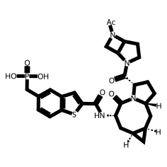 CC(=O)N1CC2C1CCN2C(=O)[C@@H]1CC[C@@H]2C[C@H]3C[C@H]3C[C@H](NC(=O)c3cc4cc(CP(=O)(O)O)ccc4s3)C(=O)N21